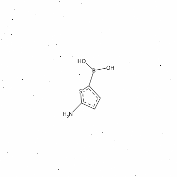 Nc1ccc(B(O)O)s1